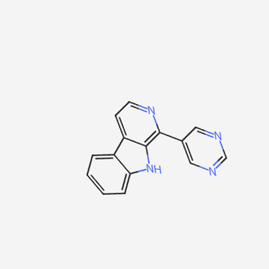 c1ccc2c(c1)[nH]c1c(-c3cncnc3)nccc12